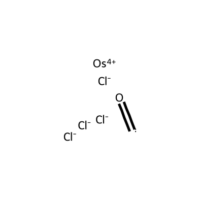 [C]=O.[Cl-].[Cl-].[Cl-].[Cl-].[Os+4]